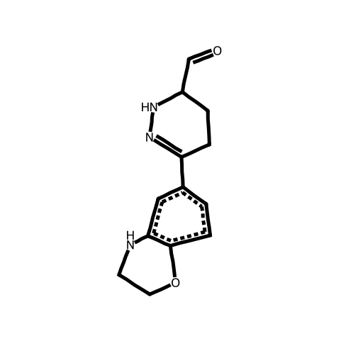 O=CC1CCC(c2ccc3c(c2)NCCO3)=NN1